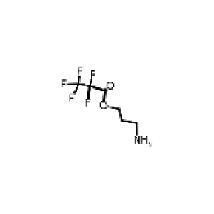 NCCCOC(=O)C(F)(F)C(F)(F)F